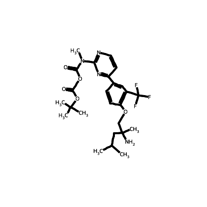 CC(C)CC(C)(N)COc1ccc(-c2ccnc(N(C)C(=O)OC(=O)OC(C)(C)C)n2)cc1C(F)(F)F